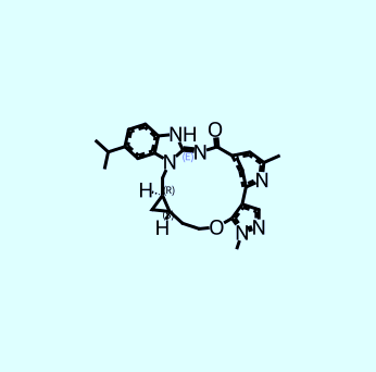 Cc1cc2cc(n1)-c1cnn(C)c1OCC[C@@H]1C[C@H]1CN1/C(=N/C2=O)Nc2ccc(C(C)C)cc21